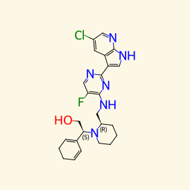 OC[C@H](C1=CCCC=C1)N1CCCC[C@@H]1CNc1nc(-c2c[nH]c3ncc(Cl)cc23)ncc1F